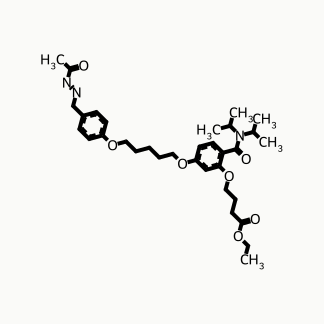 CCOC(=O)CCCOc1cc(OCCCCCOc2ccc(CN=NC(C)=O)cc2)ccc1C(=O)N(C(C)C)C(C)C